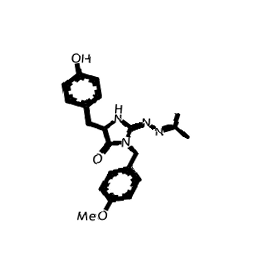 COc1ccc(CN2C(=O)C(Cc3ccc(O)cc3)N/C2=N/N=C(C)C)cc1